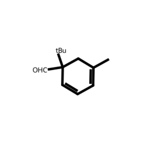 CC1=CC=CC(C=O)(C(C)(C)C)C1